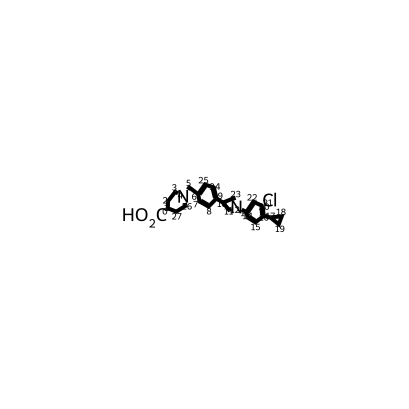 O=C(O)C1CCN(Cc2ccc(C3CN(c4ccc(C5CC5)c(Cl)c4)C3)cc2)CC1